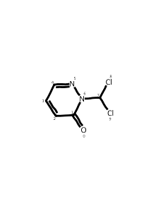 O=c1cccnn1C(Cl)Cl